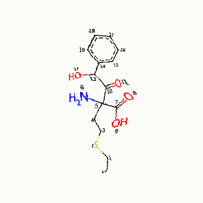 CCSCCC(N)(C(=O)O)C(=O)C(O)c1ccccc1